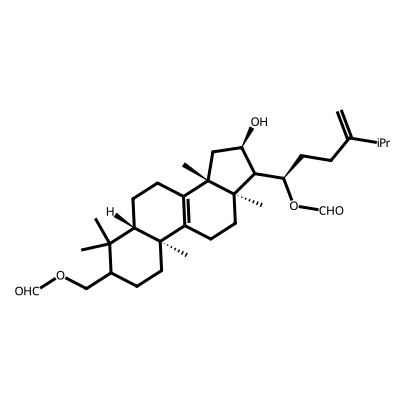 C=C(CC[C@@H](OC=O)C1[C@H](O)C[C@@]2(C)C3=C(CC[C@]12C)[C@@]1(C)CCC(COC=O)C(C)(C)[C@@H]1CC3)C(C)C